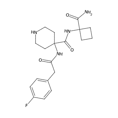 NC(=O)C1(NC(=O)C2(NC(=O)Cc3ccc(F)cc3)CCNCC2)CCC1